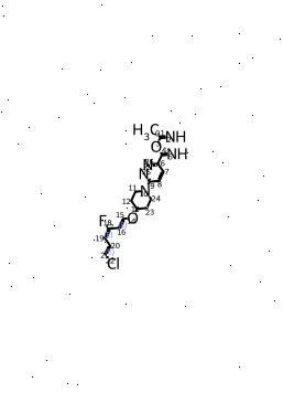 CC(=N)OC(=N)c1ccc(N2CCC(O/C=C/C(F)=C\C=C\Cl)CC2)nn1